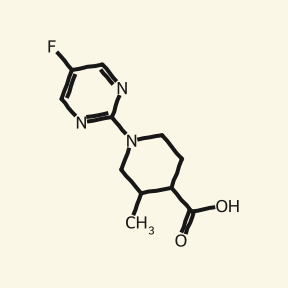 CC1CN(c2ncc(F)cn2)CCC1C(=O)O